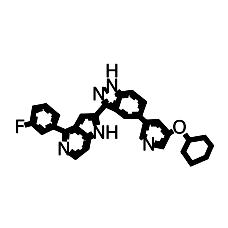 Fc1cccc(-c2nccc3[nH]c(-c4n[nH]c5ccc(-c6cncc(OC7CCCCC7)c6)cc45)cc23)c1